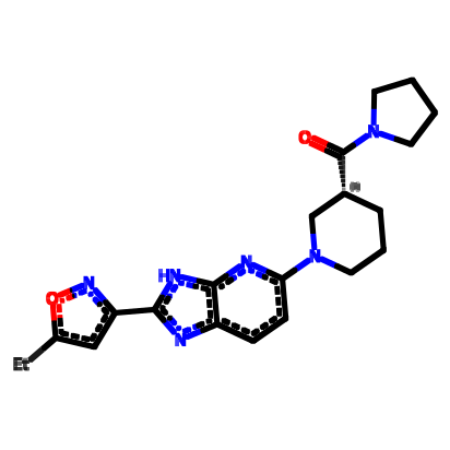 CCc1cc(-c2nc3ccc(N4CCC[C@@H](C(=O)N5CCCC5)C4)nc3[nH]2)no1